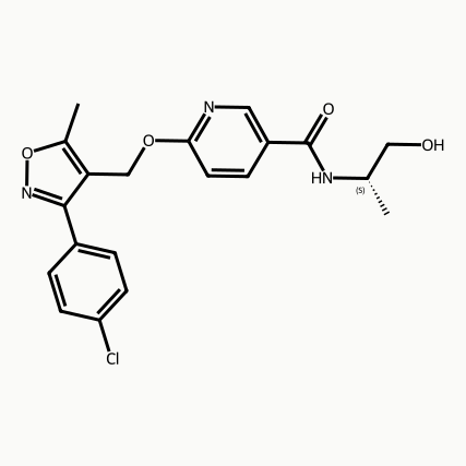 Cc1onc(-c2ccc(Cl)cc2)c1COc1ccc(C(=O)N[C@@H](C)CO)cn1